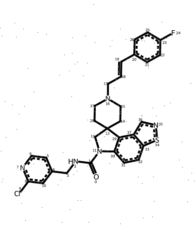 O=C(NCc1ccnc(Cl)c1)N1CC2(CCN(C/C=C/c3ccc(F)cc3)CC2)c2c1ccc1sncc21